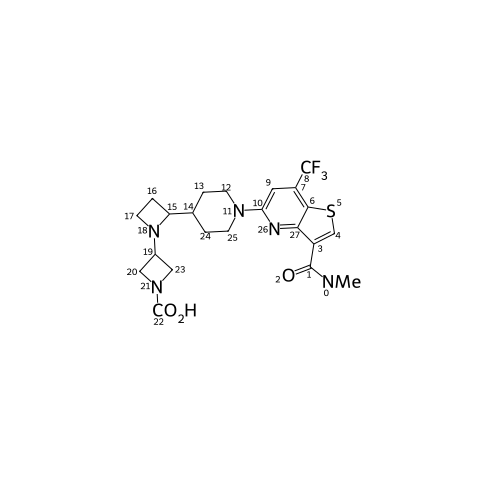 CNC(=O)c1csc2c(C(F)(F)F)cc(N3CCC(C4CCN4C4CN(C(=O)O)C4)CC3)nc12